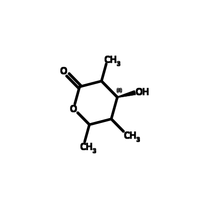 CC1OC(=O)C(C)[C@@H](O)C1C